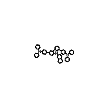 c1ccc(N(c2ccccc2)c2ccc(-c3ccc4c(c3)c3cccc(-c5ccc(N(c6ccccc6)c6ccccc6)cc5)c3n4-c3ccc4ccccc4c3)cc2)cc1